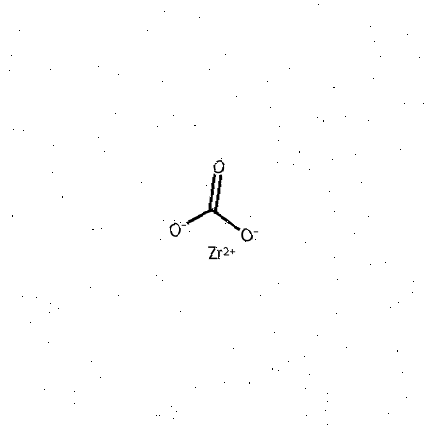 O=C([O-])[O-].[Zr+2]